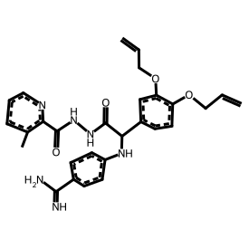 C=CCOc1ccc(C(Nc2ccc(C(=N)N)cc2)C(=O)NNC(=O)c2ncccc2C)cc1OCC=C